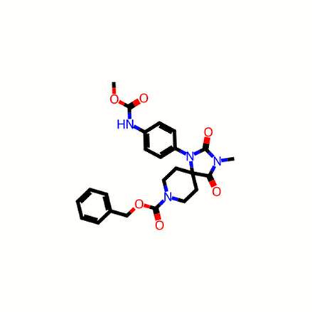 COC(=O)Nc1ccc(N2C(=O)N(C)C(=O)C23CCN(C(=O)OCc2ccccc2)CC3)cc1